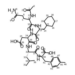 CC(=O)NC(CCC(N)=O)C(=O)N[C@@H](CC1CCCCC1)C(=O)NC(CC(=O)O)C(=O)N[C@@H](CC(C)C)C(=O)NC(Cc1ccc(C)cc1)C(=O)O